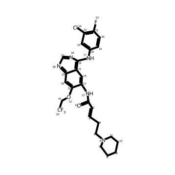 O=C(C=CCCN1CCCCC1)Nc1cc2c(Nc3ccc(F)c(Cl)c3)ncnc2cc1OCC(F)(F)F